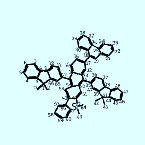 CC1(C)c2ccccc2-c2ccc(-c3c4ccc(-c5cc6ccccc6c6ccccc56)cc4c(-c4ccc5c(c4)C(C)(C)c4ccccc4-5)c4cc5c(cc34)-c3ccccc3[Si]5(C)C)cc21